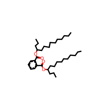 CCCCCCCCCCC(CCC)OC(=O)c1ccccc1C(=O)OC(CCC)CCCCCCCCCC